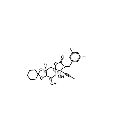 CC#C[C@]1(O)N(Cc2cc(C)cc(C)c2)C(=O)O[C@@]12C[C@@H](O)C1OC3(CCCCC3)O[C@@H]1C2